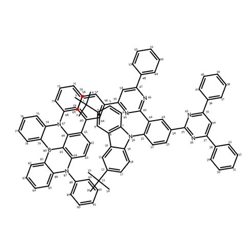 CC(C)(C)c1ccc2c(c1)c1cc(C(C)(C)C)ccc1n2-c1ccc(-c2nc(-c3ccccc3)cc(-c3ccccc3)n2)cc1-c1nc(-c2ccccc2)cc(-c2cccc(-c3ccc4c5c3N(c3ccccc3)c3ccccc3B5c3ccccc3N4c3ccccc3)c2)n1